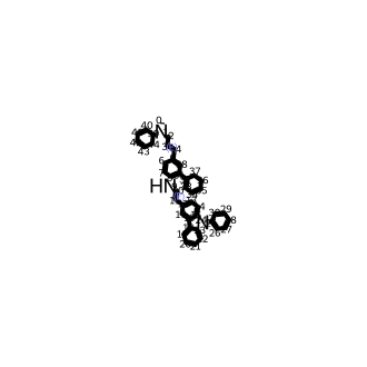 CN(C/C=C/c1ccc(N/C=C/c2ccc3c(c2)c2ccccc2n3-c2ccccc2)c(C2=CC=CCC2)c1)C1C=CC=CC1